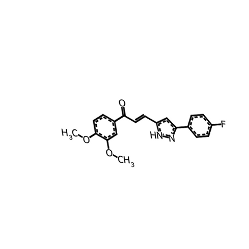 COc1ccc(C(=O)/C=C/c2cc(-c3ccc(F)cc3)n[nH]2)cc1OC